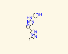 CCc1cnc2ncc(-c3ccn4nc(NC5CCNCC5)ncc34)cn12